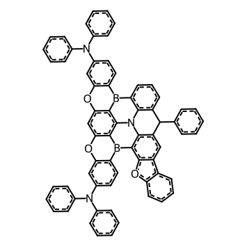 c1ccc(C2c3cccc4c3N3c5c6c(cc7c5B(c5ccc(N(c8ccccc8)c8ccccc8)cc5O7)c5c3c2cc2c5oc3ccccc32)Oc2cc(N(c3ccccc3)c3ccccc3)ccc2B46)cc1